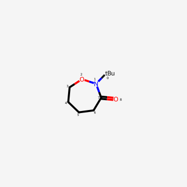 CC(C)(C)N1OCCCCC1=O